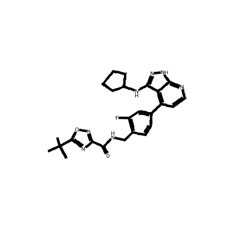 CC(C)(C)c1nc(C(=O)NCc2ccc(-c3ccnc4[nH]nc(NC5CCCC5)c34)cc2F)no1